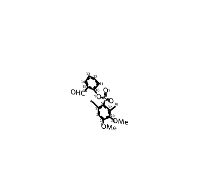 COc1cc(C)c(S(=O)(=O)Oc2ccccc2C=O)c(C)c1OC